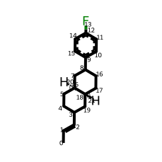 CC=CC1CC[C@H]2CC(c3ccc(F)cc3)CC[C@@H]2C1